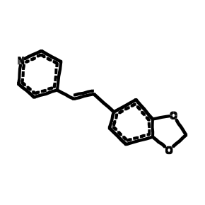 C(=C\c1ccc2c(c1)OCO2)/c1ccncc1